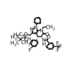 CCN1C(=O)[C@H](NC(=O)c2cccc(C(F)(F)F)c2)[C@H](c2ccc(F)cc2)c2c(CO[Si](C)(C)C(C)(C)C)nn(-c3ccccc3)c21